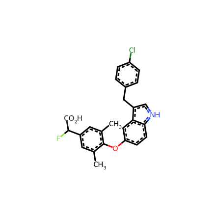 Cc1cc(C(F)C(=O)O)cc(C)c1Oc1ccc2[nH]cc(Cc3ccc(Cl)cc3)c2c1